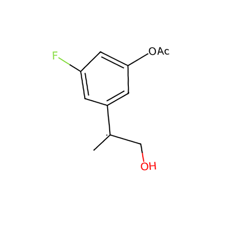 C[C](CO)c1cc(F)cc(OC(C)=O)c1